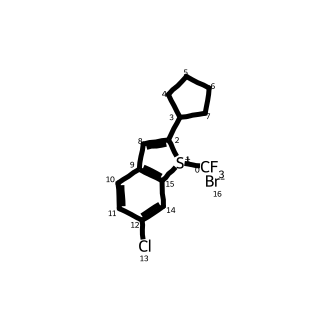 FC(F)(F)[s+]1c(C2CCCC2)cc2ccc(Cl)cc21.[Br-]